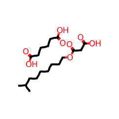 CC(C)CCCCCCCOC(=O)CC(=O)O.O=C(O)CCCCC(=O)O